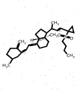 C=C1CCC(C)C/C1=C/C=C1\CCC[C@]2(C)C(C(C)/C=C/C3(S(=O)(=O)CCCC)CC3)CC[C@@H]12